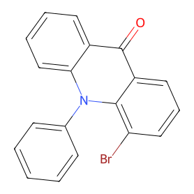 O=c1c2ccccc2n(-c2ccccc2)c2c(Br)cccc12